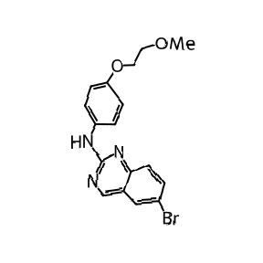 COCCOc1ccc(Nc2ncc3cc(Br)ccc3n2)cc1